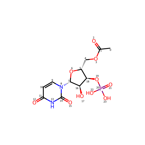 CC(=O)OC[C@H]1O[C@@H](n2ccc(=O)[nH]c2=O)[C@H](O)[C@@H]1OP(=O)(O)O